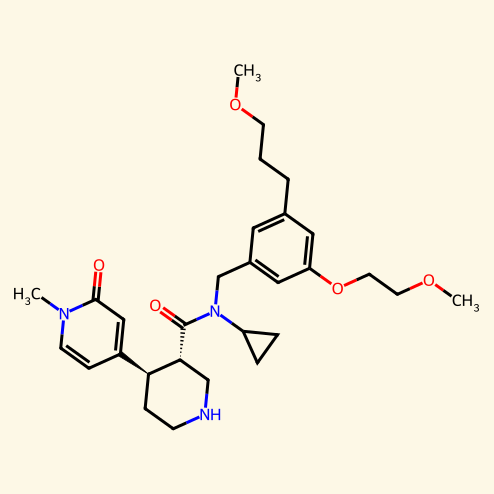 COCCCc1cc(CN(C(=O)[C@@H]2CNCC[C@H]2c2ccn(C)c(=O)c2)C2CC2)cc(OCCOC)c1